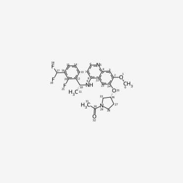 COc1cc2nccc(N[C@H](C)c3cccc(C(F)F)c3F)c2cc1O[C@@H]1CCN(C(C)=O)C1